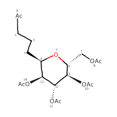 CC(=O)CCC[C@H]1O[C@H](COC(C)=O)[C@@H](OC(C)=O)[C@H](OC(C)=O)[C@H]1OC(C)=O